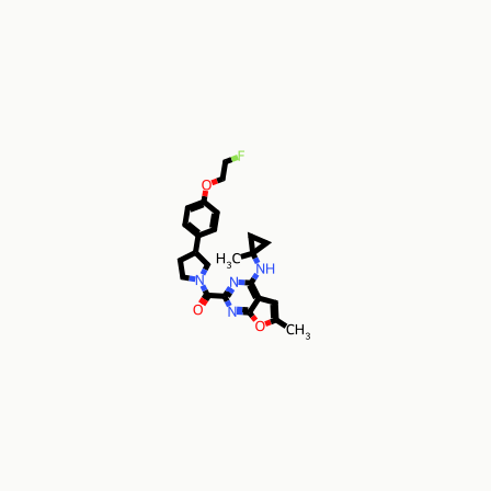 Cc1cc2c(NC3(C)CC3)nc(C(=O)N3CCC(c4ccc(OCCF)cc4)C3)nc2o1